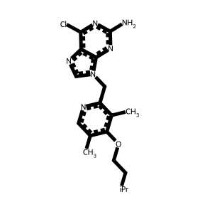 Cc1cnc(Cn2cnc3c(Cl)nc(N)nc32)c(C)c1OCCC(C)C